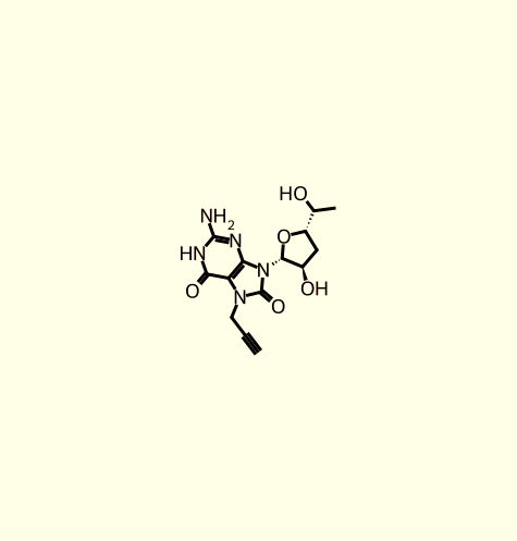 C#CCn1c(=O)n([C@@H]2O[C@H](C(C)O)C[C@H]2O)c2nc(N)[nH]c(=O)c21